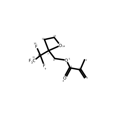 C=C(C)C(=O)OCC1(C(F)(F)C(F)(F)F)CCO1